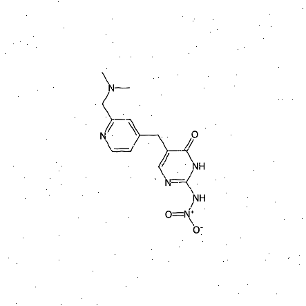 CN(C)Cc1cc(Cc2cnc(N[N+](=O)[O-])[nH]c2=O)ccn1